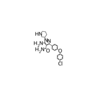 NC(=O)c1c(-c2ccc(Oc3ccc(Cl)cc3)cc2)nn(C2CCCNC2)c1N